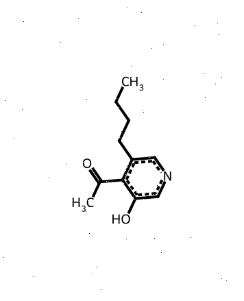 CCCCc1cncc(O)c1C(C)=O